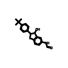 CC(C)(C)c1ccc(C2Sc3ccc(NC=O)cc3N2O)cc1